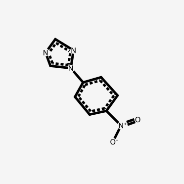 O=[N+]([O-])c1ccc(-n2cncn2)cc1